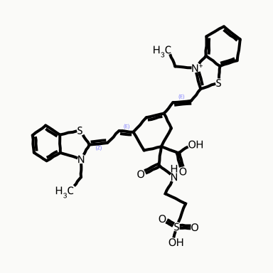 CCN1/C(=C/C=C2C=C(/C=C/c3sc4ccccc4[n+]3CC)CC(C(=O)O)(C(=O)NCCS(=O)(=O)O)C/2)Sc2ccccc21